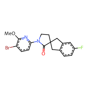 COc1nc(N2CCC3(Cc4ccc(F)cc4C3)C2=O)ccc1Br